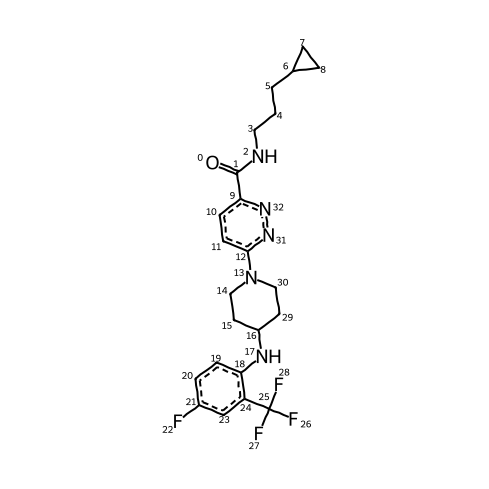 O=C(NCCCC1CC1)c1ccc(N2CCC(Nc3ccc(F)cc3C(F)(F)F)CC2)nn1